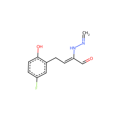 C=NN/C(C=O)=C\Cc1cc(F)ccc1O